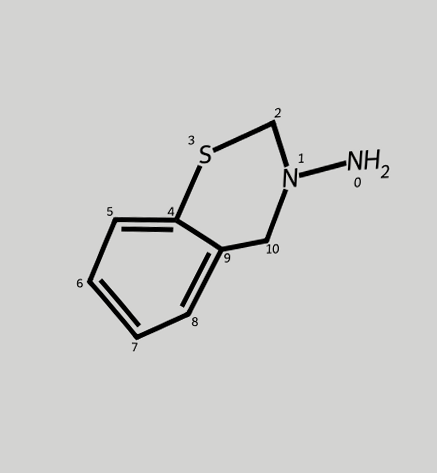 NN1CSc2ccccc2C1